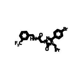 CC(C)Cn1c(-c2ccc(Br)cc2)nn(CC(=O)NCc2cccc(C(F)(F)F)c2)c1=O